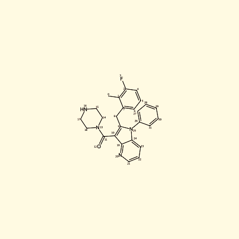 Cc1c(F)cccc1Cc1c(C(=O)N2CCNCC2)c2ncccc2n1-c1ccccc1